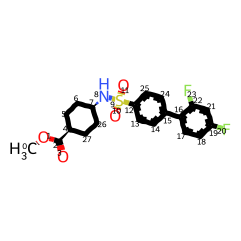 COC(=O)[C@H]1CC[C@H](NS(=O)(=O)c2ccc(-c3ccc(F)cc3F)cc2)CC1